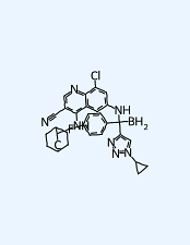 BC(Nc1cc(Cl)c2ncc(C#N)c(NC3CC4CCC3CC4)c2c1)(c1ccc(F)cc1)c1cn(C2CC2)nn1